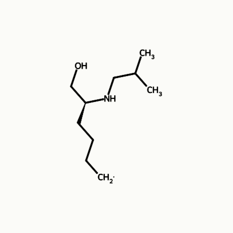 [CH2]CCC[C@@H](CO)NCC(C)C